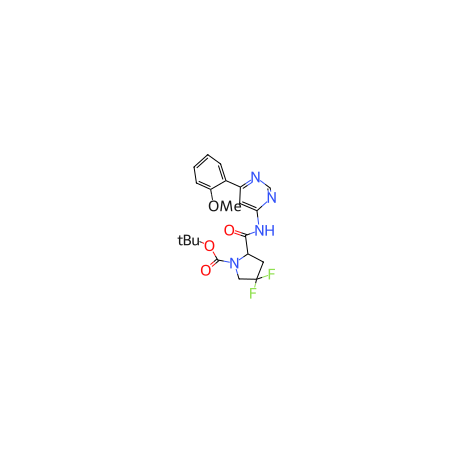 COc1ccccc1-c1cc(NC(=O)C2CC(F)(F)CN2C(=O)OC(C)(C)C)ncn1